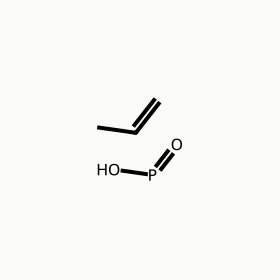 C=CC.O=PO